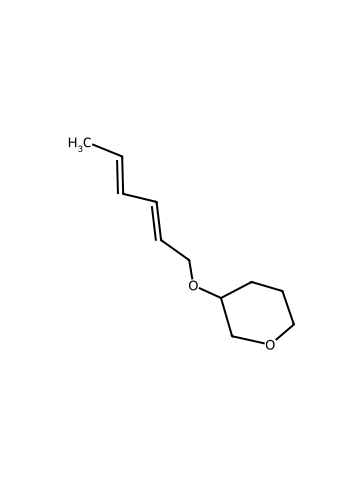 CC=CC=CCOC1CCCOC1